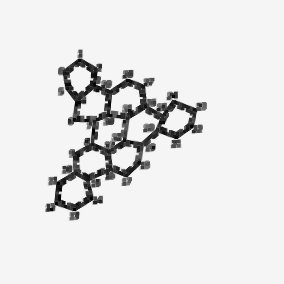 c1ccc2c(c1)cc1c3cc4ccccc4c4ccc5c6ccccc6c6ccc2c1c6c5c43